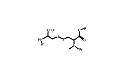 CC(C)NC(CSSCC(C(=O)OC(C)C)N(C)C(C)C)C(=O)O